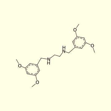 COc1cc(CNCCNCc2cc(OC)cc(OC)c2)cc(OC)c1